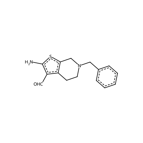 Nc1sc2c(c1C=O)CCN(Cc1ccccc1)C2